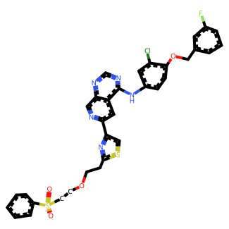 O=S(=O)(CCOCCc1nc(-c2cc3c(Nc4ccc(OCc5cccc(F)c5)c(Cl)c4)ncnc3cn2)cs1)c1ccccc1